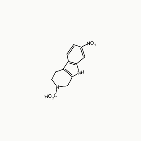 O=C(O)N1CCc2c([nH]c3cc([N+](=O)[O-])ccc23)C1